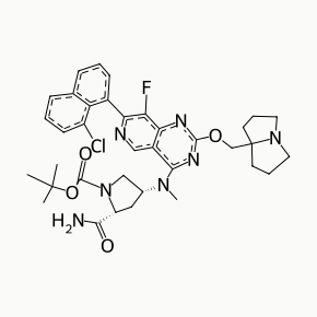 CN(c1nc(OCC23CCCN2CCC3)nc2c(F)c(-c3cccc4cccc(Cl)c34)ncc12)[C@@H]1C[C@H](C(N)=O)N(C(=O)OC(C)(C)C)C1